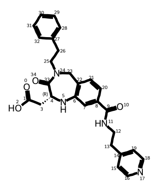 O=C(O)C[C@H]1Nc2cc(C(=O)NCCc3ccncc3)ccc2CN(CCc2ccccc2)C1=O